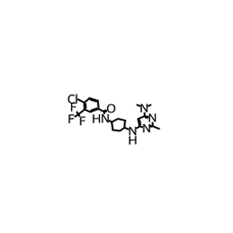 Cc1nc(NC2CCC(NC(=O)c3ccc(Cl)c(C(F)(F)F)c3)CC2)cc(N(C)C)n1